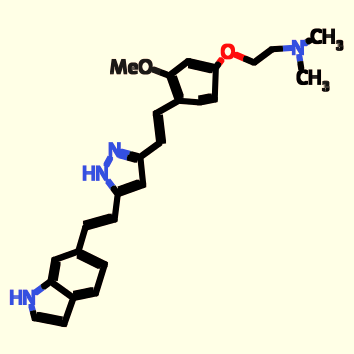 COc1cc(OCCN(C)C)ccc1/C=C/c1cc(/C=C/c2ccc3cc[nH]c3c2)[nH]n1